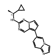 C[C@H](Nc1ncc2c(-c3ccc4nccn4c3)ccn2n1)C1CC1